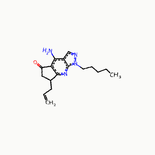 C=CCC1CC(=O)c2c1nc1c(cnn1CCCCC)c2N